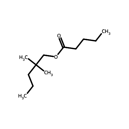 CCCCC(=O)OCC(C)(C)CCC